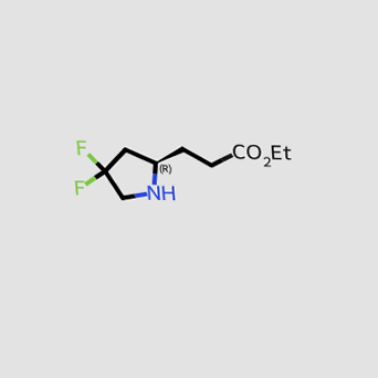 CCOC(=O)CC[C@@H]1CC(F)(F)CN1